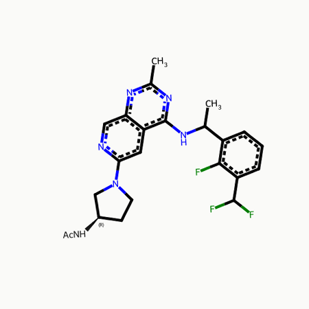 CC(=O)N[C@@H]1CCN(c2cc3c(NC(C)c4cccc(C(F)F)c4F)nc(C)nc3cn2)C1